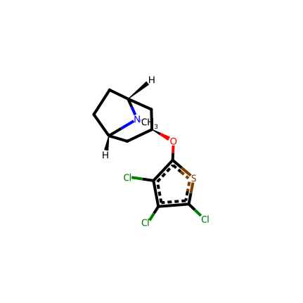 CN1[C@@H]2CC[C@H]1C[C@H](Oc1sc(Cl)c(Cl)c1Cl)C2